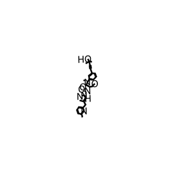 Cc1cccc(Cc2cnn(C(=O)N[C@@H]3COc4ccc(C#CC(C)(C)O)cc4N(C)C3=O)c2)n1